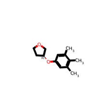 Cc1cc(O[C@@H]2CCOC2)cc(C)c1C